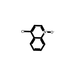 [O-][n+]1ccc(Cl)c2ccccc21